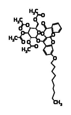 CCCCCCCCCCOc1ccc2c(O[C@@H]3O[C@H](COC(C)=O)[C@@H](OC(C)=O)[C@H](OC(C)=O)[C@H]3OC(C)=O)c(OC(=O)c3ccccc3)c(=O)oc2c1